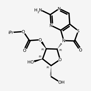 CC(C)OC(=O)O[C@@H]1[C@H](O)[C@@H](CO)O[C@H]1n1c(=O)sc2cnc(N)nc21